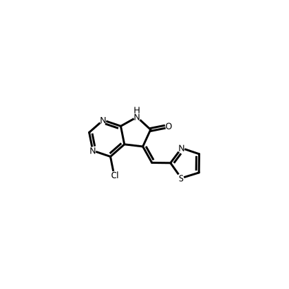 O=C1Nc2ncnc(Cl)c2/C1=C/c1nccs1